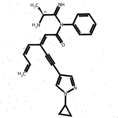 C=C/C=C\C(C#Cc1cnn(C2CC2)c1)=C\C(=O)N(C(=N)[C@H](C)N)c1ccccc1